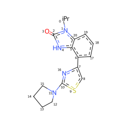 CC(C)n1c(=O)[nH]c2c(-c3csc(N4CCCC4)n3)cccc21